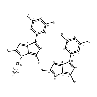 CC1=NC2=C(C)C=C(c3cc(C)cc(C)c3)C2=C1.CC1=NC2=C(C)C=C(c3cc(C)cc(C)c3)C2=C1.[Cl-].[Cl-].[Zr+2]